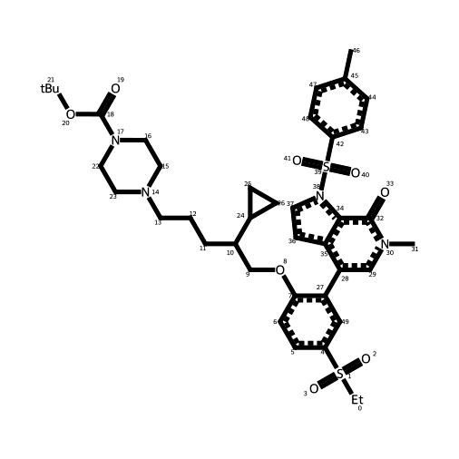 CCS(=O)(=O)c1ccc(OCC(CCCN2CCN(C(=O)OC(C)(C)C)CC2)C2CC2)c(-c2cn(C)c(=O)c3c2ccn3S(=O)(=O)c2ccc(C)cc2)c1